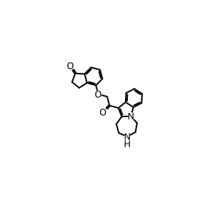 O=C1CCc2c(OCC(=O)c3c4n(c5ccccc35)CCNCC4)cccc21